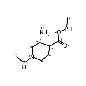 CPOC(=O)C1CCN(PC)C[C@@H]1N